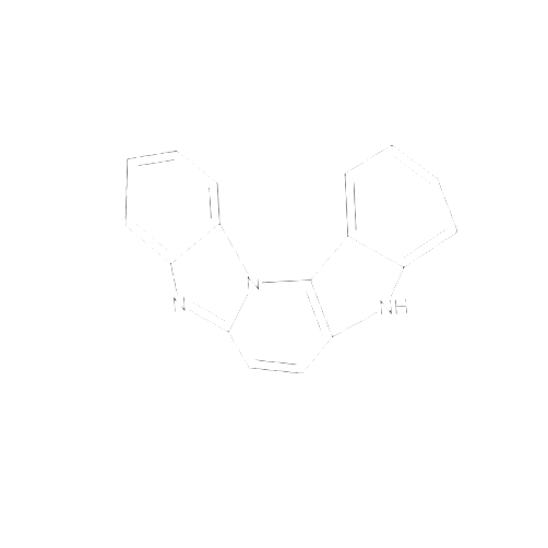 c1ccc2c(c1)nc1ccc3[nH]c4ccccc4c3n12